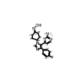 Nc1nccc(-c2c(-c3ccc(F)cc3)ncn2C2CCC(=NO)CC2)n1